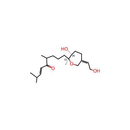 CC(C)C=CC(=O)C(C)CCC[C@]1(C)OCC(=CCO)CC[C@H]1O